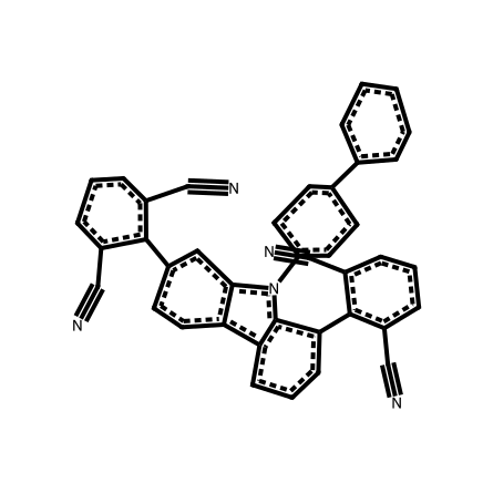 N#Cc1cccc(C#N)c1-c1ccc2c3cccc(-c4c(C#N)cccc4C#N)c3n(-c3ccc(-c4ccccc4)cc3)c2c1